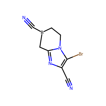 N#CB1CCn2c(nc(C#N)c2Br)C1